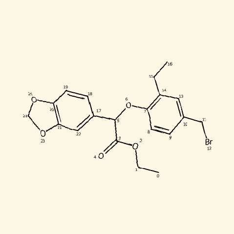 CCOC(=O)C(Oc1ccc(CBr)cc1CC)c1ccc2c(c1)OCO2